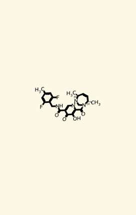 Cc1cc(F)c(CNC(=O)c2cn3c(c(O)c2=O)C(=O)N2CN3[C@@H](C)C=C[C@@H]2C)c(F)c1